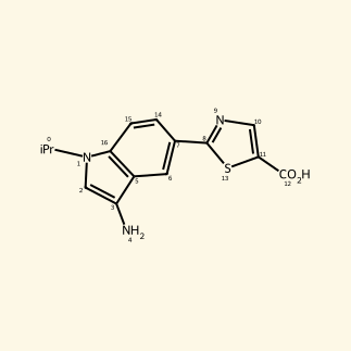 CC(C)n1cc(N)c2cc(-c3ncc(C(=O)O)s3)ccc21